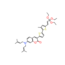 CCO[Si](/C=C/c1cc(C)c(-c2ccc(-c3cc4ccc(N(CC=C(C)C)CC=C(C)C)cc4oc3=O)s2)s1)(OCC)OCC